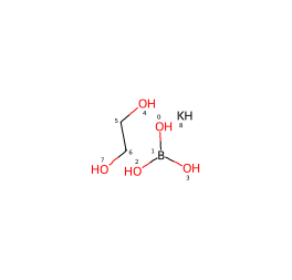 OB(O)O.OCCO.[KH]